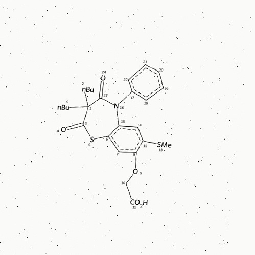 CCCCC1(CCCC)C(=O)Sc2cc(OCC(=O)O)c(SC)cc2N(c2ccccc2)C1=O